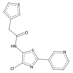 O=C(Cc1ccsc1)Nc1sc(-c2cccnc2)nc1Cl